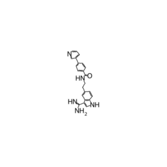 N=C(N)c1c[nH]c2ccc(CCNC(=O)c3ccc(-c4cccnc4)cc3)cc12